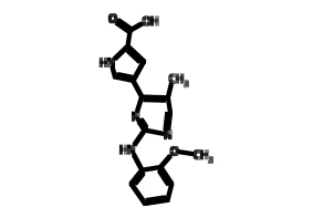 COc1ccccc1Nc1ncc(C)c(-c2c[nH]c(C(=O)O)c2)n1